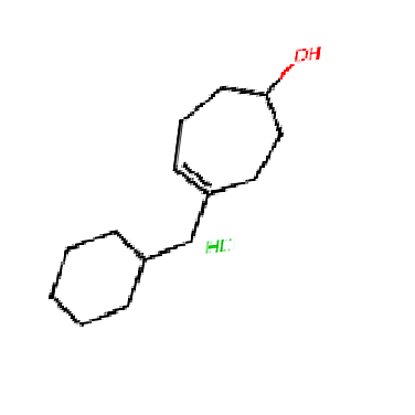 Cl.OC1CCC=C(CC2CCCCC2)CC1